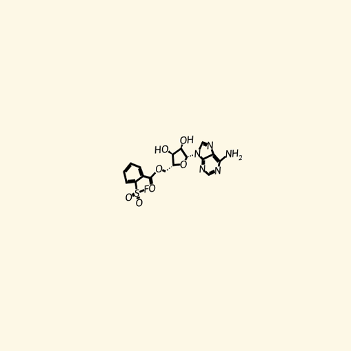 Nc1ncnc2c1ncn2[C@@H]1O[C@H](COC(=O)c2ccccc2S(=O)(=O)F)[C@@H](O)[C@H]1O